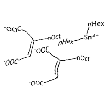 CCCCCCCC/C(=C/C(=O)[O-])C(=O)[O-].CCCCCCCC/C(=C/C(=O)[O-])C(=O)[O-].CCCCC[CH2][Sn+4][CH2]CCCCC